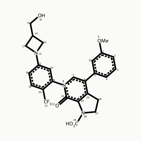 COc1cccc(-c2cn(-c3cc(N4CC(CO)C4)ccc3C(F)(F)F)c(=O)c3c2CCN3C(=O)O)c1